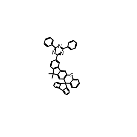 CC1(C)c2ccc(-c3nc(-c4ccccc4)nc(-c4ccccc4)n3)cc2-c2cc3c(cc21)C1(c2ccccc2S3)c2ccccc2-c2ccccc21